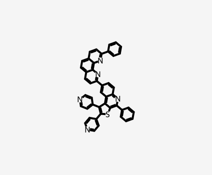 c1ccc(-c2ccc3ccc4ccc(-c5ccc6nc(-c7ccccc7)c7sc(-c8ccncc8)c(-c8ccncc8)c7c6c5)nc4c3n2)cc1